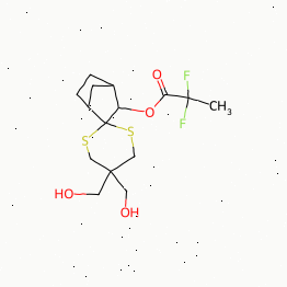 CC(F)(F)C(=O)OC1C2CCC(C2)C12SCC(CO)(CO)CS2